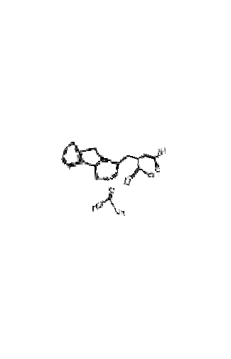 O=C(O)CC(Cc1cccc2c1Cc1ccccc1-2)C(=O)O.O=C(O)O